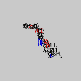 COC(=O)[C@H](Cc1ccc(-c2ccnc(C)c2C)cc1)NC(=O)[C@@H]1Cc2cc3c(cc2CN1)O[C@@H](c1cccc(OCC2CCCC2)c1)CO3